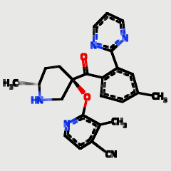 Cc1ccc(C(=O)[C@@]2(Oc3nccc(C#N)c3C)CC[C@@H](C)NC2)c(-c2ncccn2)c1